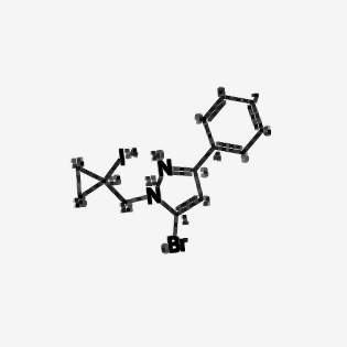 Brc1cc(-c2ccccc2)nn1CC1(I)CC1